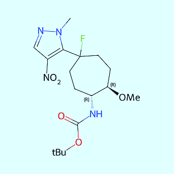 CO[C@@H]1CCC(F)(c2c([N+](=O)[O-])cnn2C)CC[C@H]1NC(=O)OC(C)(C)C